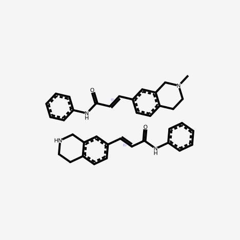 CN1CCc2ccc(/C=C/C(=O)Nc3ccccc3)cc2C1.O=C(/C=C/c1ccc2c(c1)CNCC2)Nc1ccccc1